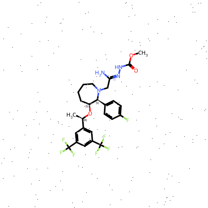 COC(=O)N/N=C(\N)CN1CCCC[C@H](O[C@H](C)c2cc(C(F)(F)F)cc(C(F)(F)F)c2)[C@@H]1c1ccc(F)cc1